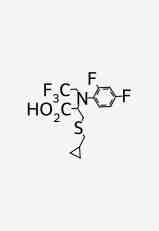 O=C(O)C(CSCC1CC1)N(CC(F)(F)F)c1ccc(F)cc1F